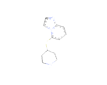 c1cc(SC2CCNCC2)n2ccnc2c1